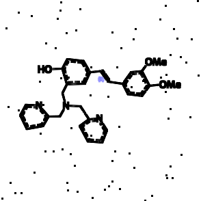 COc1ccc(/C=C/c2ccc(O)c(CN(Cc3ccccn3)Cc3ccccn3)c2)cc1OC